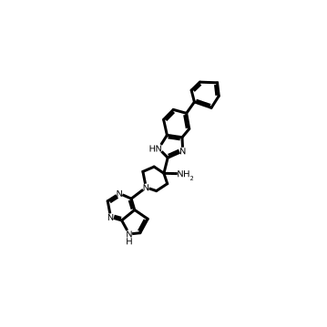 NC1(c2nc3cc(-c4ccccc4)ccc3[nH]2)CCN(c2ncnc3[nH]ccc23)CC1